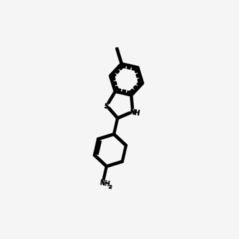 Cc1ccc2c(c1)SC(C1C=CC(N)CC1)N2